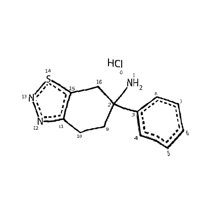 Cl.NC1(c2ccccc2)CCc2nnsc2C1